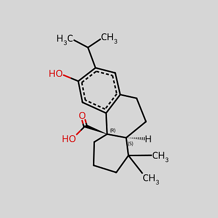 CC(C)c1cc2c(cc1O)[C@@]1(C(=O)O)CCCC(C)(C)[C@@H]1CC2